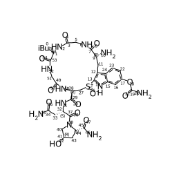 CC[C@H](C)[C@@H]1NC(=O)CNC(=O)[C@H](N)Cc2c([nH]c3cc(OC(N)=O)ccc23)[S+]([O-])C[C@@H](C(=O)N[C@@H](CC(N)=O)C(=O)N2C[C@H](O)C[C@H]2C(N)=O)NC(=O)CNC1=O